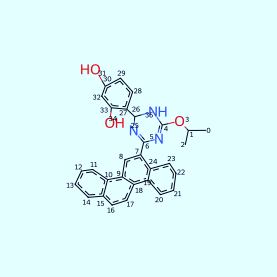 CC(C)OC1=NC(c2cc3c4ccccc4ccc3c3ccccc23)=NC(c2ccc(O)cc2O)N1